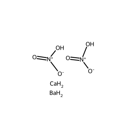 O=[N+]([O-])O.O=[N+]([O-])O.[BaH2].[CaH2]